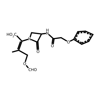 CC(COC=O)=C(C(=O)O)N1CC(NC(=O)COc2ccccc2)C1=O